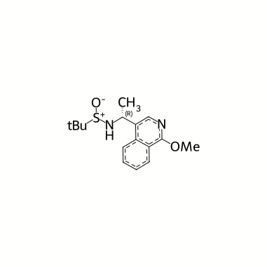 COc1ncc([C@@H](C)N[S+]([O-])C(C)(C)C)c2ccccc12